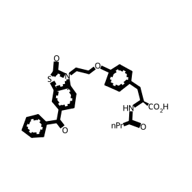 CCCC(=O)N[C@@H](Cc1ccc(OCCn2c(=O)sc3cc(C(=O)c4ccccc4)ccc32)cc1)C(=O)O